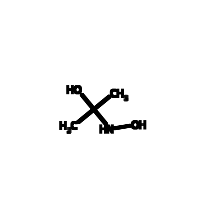 CC(C)(O)NO